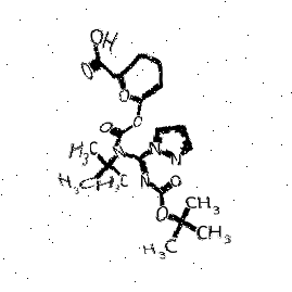 CC(C)(C)OC(=O)N=C(N(C(=O)OC1=CCCC(C(=O)O)O1)C(C)(C)C)n1cccn1